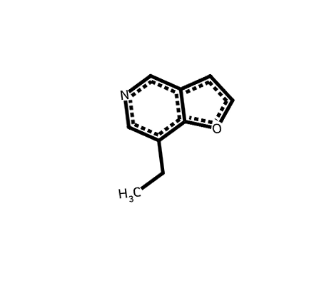 CCc1cncc2ccoc12